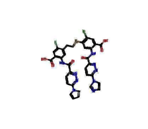 O=C(Nc1cc(CCSc2cc(NC(=O)c3ccc(-n4ccnc4)nn3)c(C(=O)O)cc2F)c(F)cc1C(=O)O)c1ccc(-n2cccc2)nn1